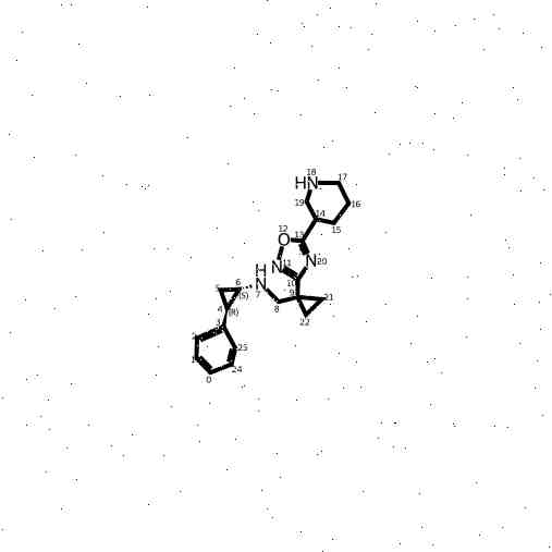 c1ccc([C@H]2C[C@@H]2NCC2(c3noc(C4CCCNC4)n3)CC2)cc1